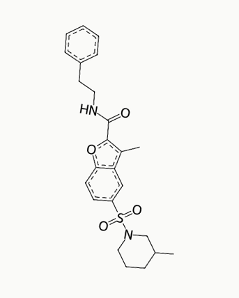 Cc1c(C(=O)NCCc2ccccc2)oc2ccc(S(=O)(=O)N3CCCC(C)C3)cc12